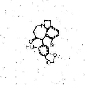 O=C1CCN2CCc3ccc(Br)c(c32)C1c1cc2c(cc1O)OCO2